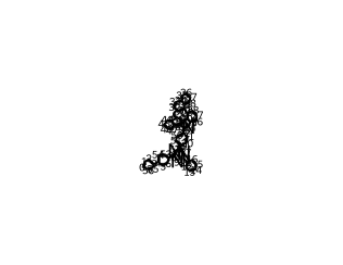 c1ccc(-c2ccc(-c3nc(-c4ccccc4)nc(-c4ccc(-c5nc6cccc(-c7cccc8ccccc78)c6c6sc7ccccc7c56)cc4)n3)cc2)cc1